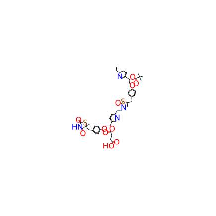 CCc1ccc([C@H](COc2ccc(CC3CN(CCc4ccc([C@@H](COc5ccc(CC6(C)SC(=O)NC6=O)cc5)OC(=O)CCC(=O)O)cn4)C(=O)S3)cc2)OC(=O)C(C)(C)C)cn1